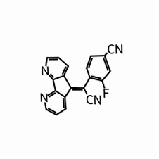 N#CC(=C1c2cccnc2-c2ncccc21)c1ccc(C#N)cc1F